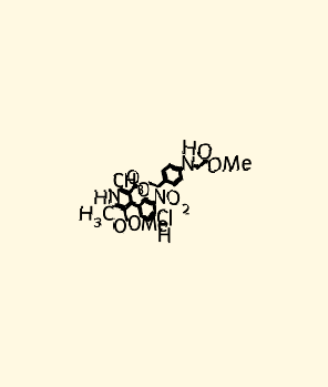 COC(=O)CNc1ccc(CCOC(=O)C2=C(C)NC(C)=C(C(=O)OC)C2c2cccc([N+](=O)[O-])c2)cc1.Cl